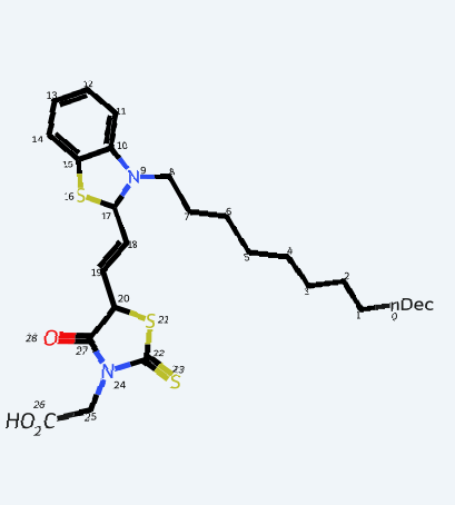 CCCCCCCCCCCCCCCCCCN1c2ccccc2SC1/C=C/C1SC(=S)N(CC(=O)O)C1=O